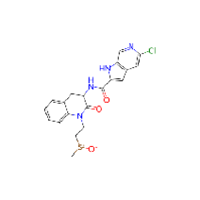 C[S+]([O-])CCN1C(=O)C(NC(=O)c2cc3cc(Cl)ncc3[nH]2)Cc2ccccc21